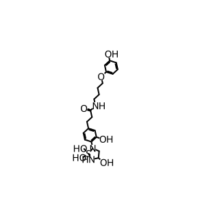 O=C(CCc1ccc(N2CC(O)NS2(O)O)c(O)c1)NCCCCOc1cccc(O)c1